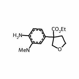 CCOC(=O)C1(c2ccc(N)c(NC)c2)CCOC1